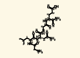 CC(C)C[C@H](NC(=O)CN)C(=O)N[C@@H](CC(N)=O)C(=O)NCC(=O)N[C@@H](CCC(=O)O)C(N)=O